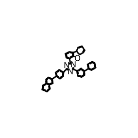 C1=CC2Oc3c(-c4nc(-c5ccc(-c6ccc7ccccc7c6)cc5)nc(-c5cccc(-c6ccccc6)c5)n4)cccc3C2C=C1